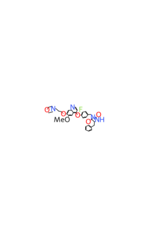 COc1cc2c(Oc3ccc(CN4C(=O)NC(Cc5ccccc5)C4=O)cc3F)ccnc2cc1OCCCN1CCOCC1